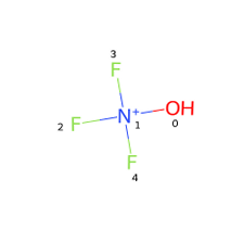 O[N+](F)(F)F